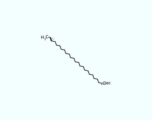 C/C=C/CCCCCCCCCCCCCCCCCCCCCCCCCCCCCC